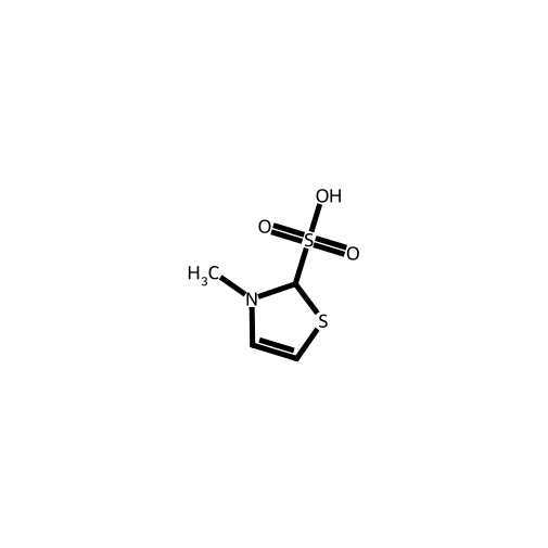 CN1C=CSC1S(=O)(=O)O